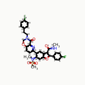 CNC(=O)c1c(-c2ccc(F)cc2)oc2cc(N(C)S(C)(=O)=O)c(-c3ccc4c(n3)C(=O)N(CCc3ccc(F)cc3)CO4)cc12